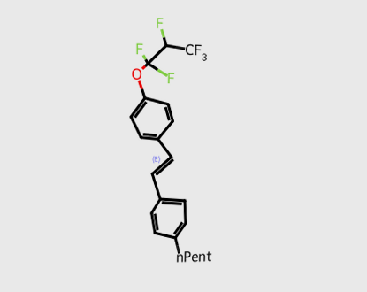 CCCCCc1ccc(/C=C/c2ccc(OC(F)(F)C(F)C(F)(F)F)cc2)cc1